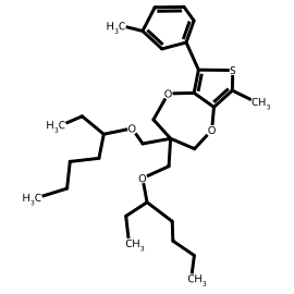 CCCCC(CC)OCC1(COC(CC)CCCC)COc2c(C)sc(-c3cccc(C)c3)c2OC1